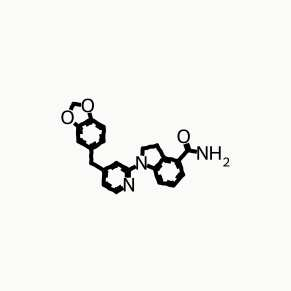 NC(=O)c1cccc2c1CCN2c1cc(Cc2ccc3c(c2)OCO3)ccn1